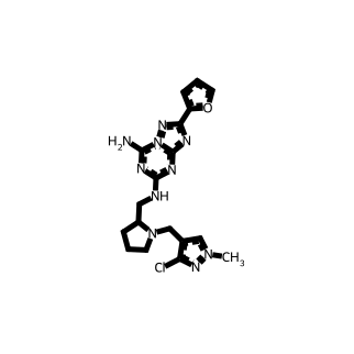 Cn1cc(CN2CCCC2CNc2nc(N)n3nc(-c4ccco4)nc3n2)c(Cl)n1